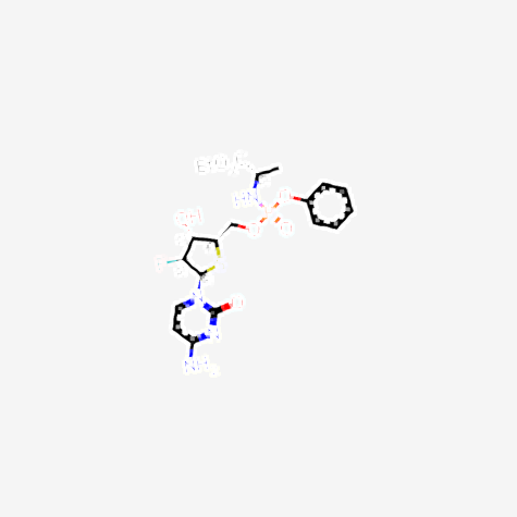 CCOC(=O)[C@H](C)NP(=O)(OC[C@H]1S[C@@H](n2ccc(N)nc2=O)[C@@H](F)[C@@H]1O)Oc1ccccc1